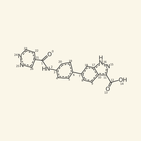 O=C(Nc1ccc(-c2ccc3c(C(=O)O)n[nH]c3c2)cc1)c1ccnnc1